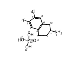 N[C@H]1CCc2cc(F)c(Cl)cc2C1.O=P(O)(O)O